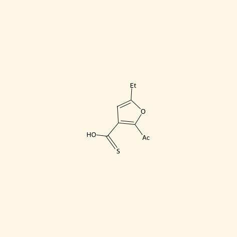 CCc1cc(C(O)=S)c(C(C)=O)o1